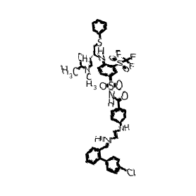 CC(C)N(C)CC[C@H](CSc1ccccc1)Nc1ccc(S(=O)(=O)NC(=O)c2ccc(NCCNCc3ccccc3-c3ccc(Cl)cc3)cc2)cc1S(=O)(=O)C(F)(F)F